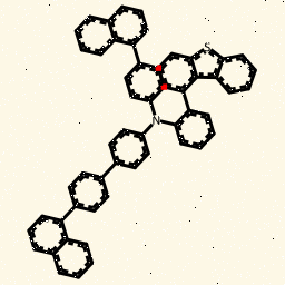 c1ccc(N(c2ccc(-c3ccc(-c4cccc5ccccc45)cc3)cc2)c2ccc(-c3cccc4ccccc34)cc2)c(-c2cccc3sc4ccccc4c23)c1